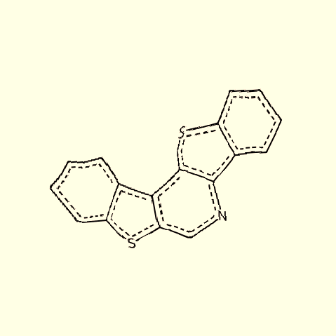 c1ccc2c(c1)sc1c2ncc2sc3ccccc3c21